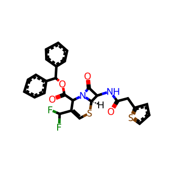 O=C(Cc1cccs1)NC1C(=O)N2C(C(=O)OC(c3ccccc3)c3ccccc3)C(C(F)F)=CS[C@H]12